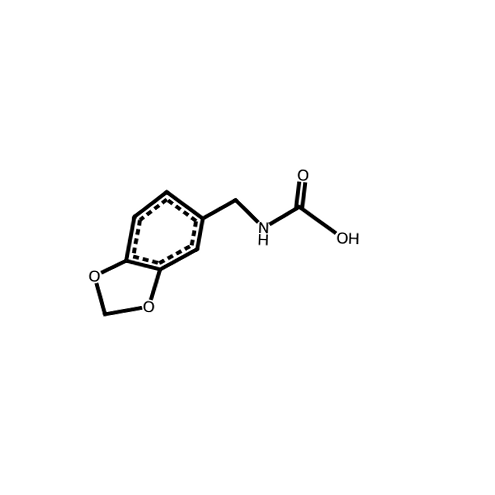 O=C(O)NCc1ccc2c(c1)OCO2